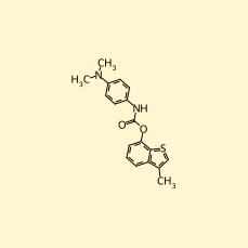 Cc1csc2c(OC(=O)Nc3ccc(N(C)C)cc3)cccc12